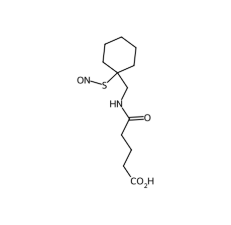 O=NSC1(CNC(=O)CCCC(=O)O)CCCCC1